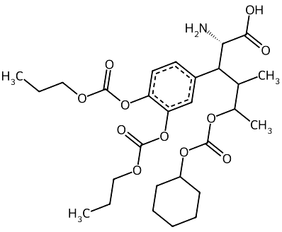 CCCOC(=O)Oc1ccc(C(C(C)C(C)OC(=O)OC2CCCCC2)[C@H](N)C(=O)O)cc1OC(=O)OCCC